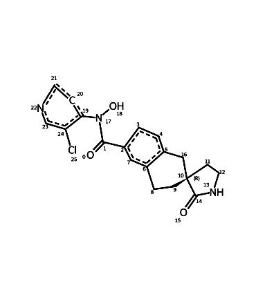 O=C(c1ccc2c(c1)CC[C@]1(CCNC1=O)C2)N(O)c1ccncc1Cl